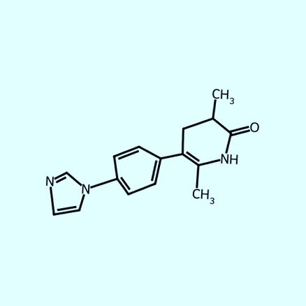 CC1=C(c2ccc(-n3ccnc3)cc2)CC(C)C(=O)N1